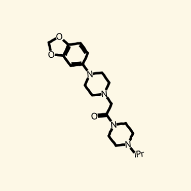 CC(C)N1CCN(C(=O)CN2CCN(c3ccc4c(c3)OCO4)CC2)CC1